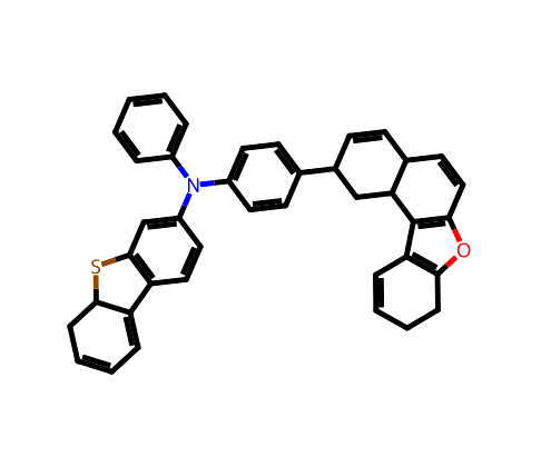 C1=CCC2Sc3cc(N(c4ccccc4)c4ccc(C5C=CC6C=Cc7oc8c(c7C6C5)C=CCC8)cc4)ccc3C2=C1